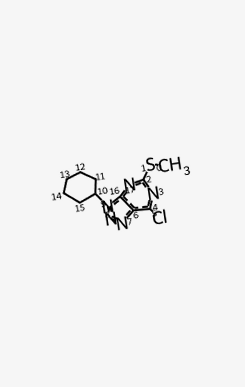 CSc1nc(Cl)c2nnn(C3CCCCC3)c2n1